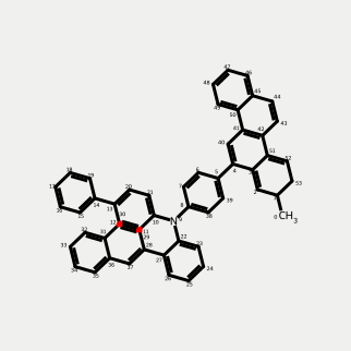 CC1C=c2c(-c3ccc(N(c4ccc(-c5ccccc5)cc4)c4ccccc4-c4ccc5ccccc5c4)cc3)cc3c(ccc4ccccc43)c2=CC1